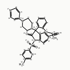 CCOc1ccccc1C1(N2CCN(c3ccncc3)CC2)C(=O)N(S(=O)(=O)c2ccc(C)cn2)c2ccc(C#N)cc21